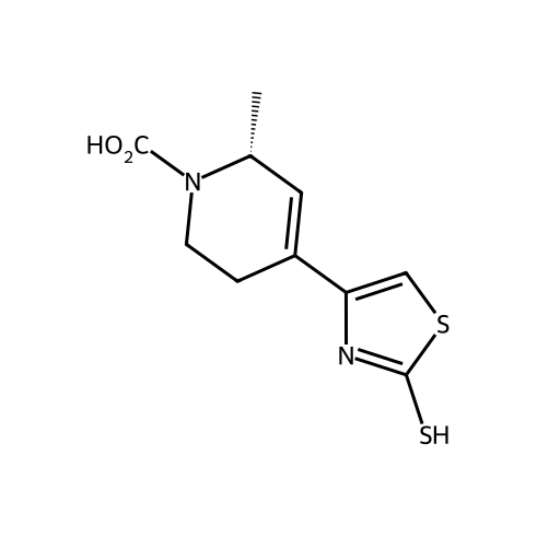 C[C@@H]1C=C(c2csc(S)n2)CCN1C(=O)O